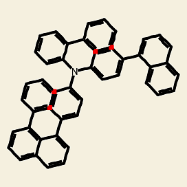 c1ccc(-c2ccccc2N(c2ccc(-c3cccc4ccccc34)cc2)c2ccc(-c3cccc4cccc(-c5ccccc5)c34)cc2)cc1